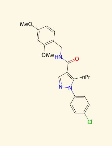 CCCc1c(C(=O)NCc2ccc(OC)cc2OC)cnn1-c1ccc(Cl)cc1